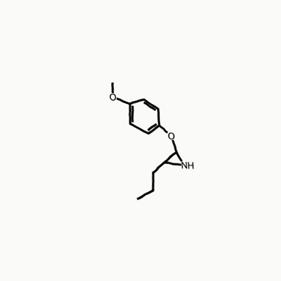 CCCC1NC1Oc1ccc(OC)cc1